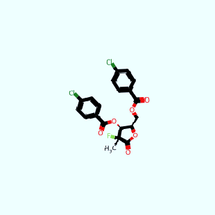 C[C@]1(F)C(=O)O[C@H](COC(=O)c2ccc(Cl)cc2)[C@H]1OC(=O)c1ccc(Cl)cc1